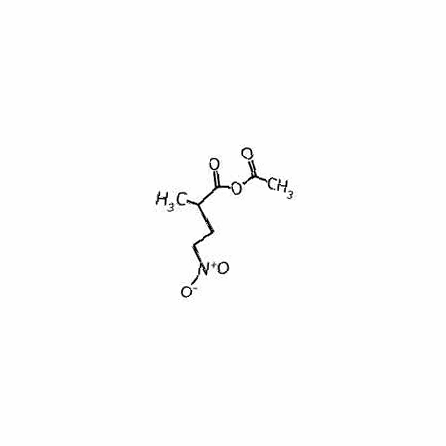 CC(=O)OC(=O)C(C)CC[N+](=O)[O-]